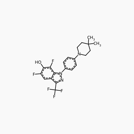 CC1(C)CCN(c2ccc(-n3nc(C(F)(F)F)c4cc(F)c(O)c(F)c43)cc2)CC1